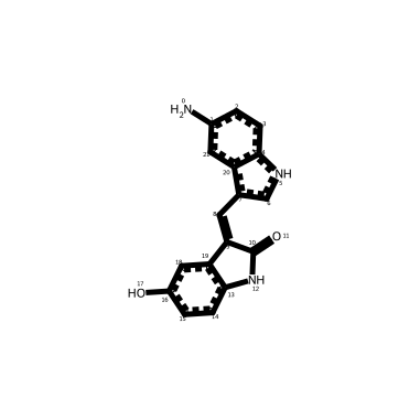 Nc1ccc2[nH]cc(C=C3C(=O)Nc4ccc(O)cc43)c2c1